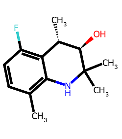 Cc1ccc(F)c2c1NC(C)(C)[C@H](O)[C@H]2C